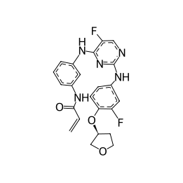 C=CC(=O)Nc1cccc(Nc2nc(Nc3ccc(O[C@H]4CCOC4)c(F)c3)ncc2F)c1